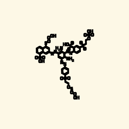 Nc1c(/N=N/c2ccc(S(=O)(=O)CCOSOOO)cc2)cc(/N=N/c2cc(SOOO)c3cccc(S(=O)(=O)O)c3c2)c(N)c1/N=N/c1ccc(S(=O)(=O)CCOS(=O)(=O)O)cc1S(=O)(=O)O